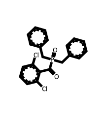 O=C(c1c(Cl)cccc1Cl)P(=O)(Cc1ccccc1)Cc1ccccc1